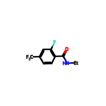 CCNC(=O)c1ccc(C(F)(F)F)cc1F